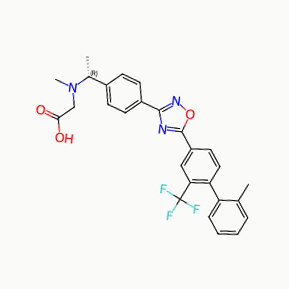 Cc1ccccc1-c1ccc(-c2nc(-c3ccc([C@@H](C)N(C)CC(=O)O)cc3)no2)cc1C(F)(F)F